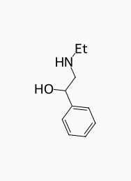 [CH2]CNCC(O)c1ccccc1